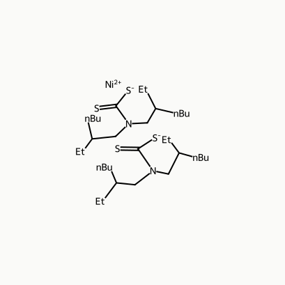 CCCCC(CC)CN(CC(CC)CCCC)C(=S)[S-].CCCCC(CC)CN(CC(CC)CCCC)C(=S)[S-].[Ni+2]